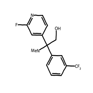 CNC(CO)(c1cccc(C(F)(F)F)c1)c1ccnc(F)c1